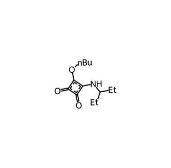 CCCCOc1c(NC(CC)CC)c(=O)c1=O